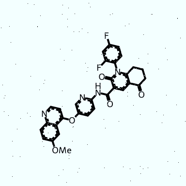 COc1ccc2nccc(Oc3ccc(NC(=O)c4cc5c(n(-c6ccc(F)cc6F)c4=O)CCCC5=O)nc3)c2c1